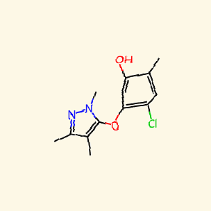 Cc1cc(Cl)c(Oc2c(C)c(C)nn2C)cc1O